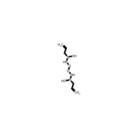 C=CCN(O)NOONN(O)CC=C